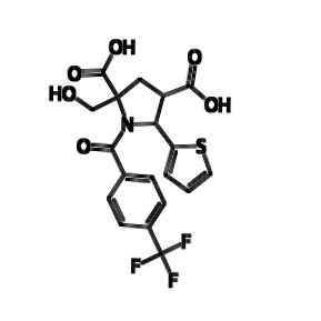 O=C(O)C1CC(CO)(C(=O)O)N(C(=O)c2ccc(C(F)(F)F)cc2)C1c1cccs1